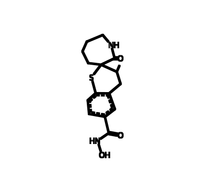 CC1Cc2cc(C(=O)NO)ccc2SC12CCCCNC2=O